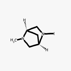 CN1C[C@H]2C[C@@H]1CN2I